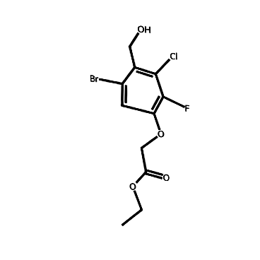 CCOC(=O)COc1cc(Br)c(CO)c(Cl)c1F